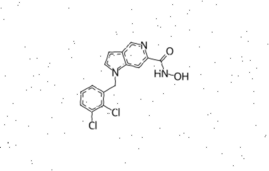 O=C(NO)c1cc2c(ccn2Cc2cccc(Cl)c2Cl)cn1